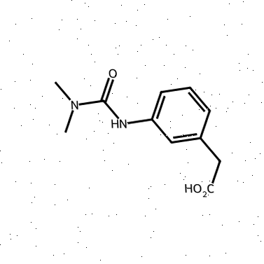 CN(C)C(=O)Nc1cccc(CC(=O)O)c1